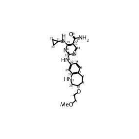 COCCO[C@H]1CCc2ccc(Nc3ncc(C(N)=O)c(NC4CC4)n3)cc2NC1